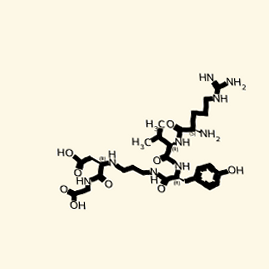 CC(C)[C@@H](NC(=O)[C@@H](N)CCCNC(=N)N)C(=O)N[C@H](Cc1ccc(O)cc1)C(=O)NCCCN[C@H](CC(=O)O)C(=O)NCC(=O)O